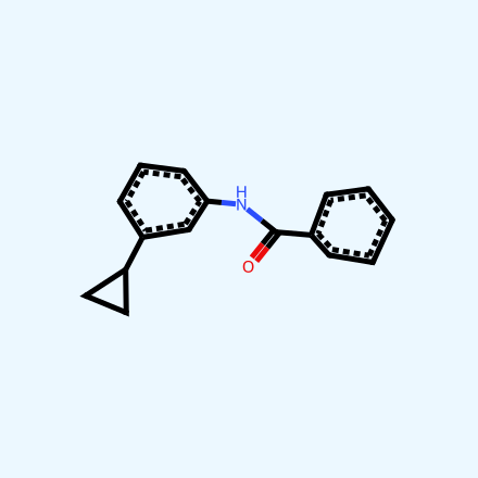 O=C(Nc1cccc(C2CC2)c1)c1ccccc1